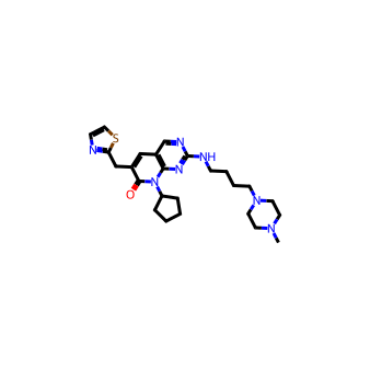 CN1CCN(CCCCNc2ncc3cc(Cc4nccs4)c(=O)n(C4CCCC4)c3n2)CC1